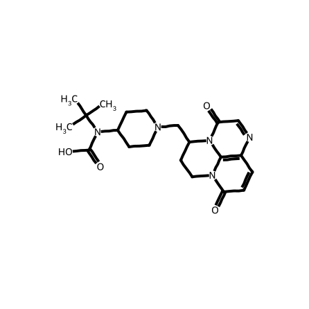 CC(C)(C)N(C(=O)O)C1CCN(CC2CCn3c(=O)ccc4ncc(=O)n2c43)CC1